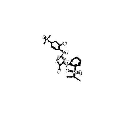 CC(C)S(=O)(=O)c1ccccc1Nc1nc(NC2=C(Cl)CC(P(C)(C)=O)C=C2)nnc1Cl